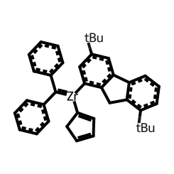 CC(C)(C)c1cc2c([c]([Zr]([C]3=CC=CC3)=[C](c3ccccc3)c3ccccc3)c1)Cc1c-2cccc1C(C)(C)C